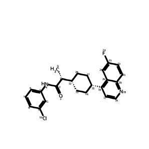 C[C@@H](C(=O)Nc1cccc(Cl)c1)[C@H]1CC[C@@H](c2ccnc3ccc(F)cc32)CC1